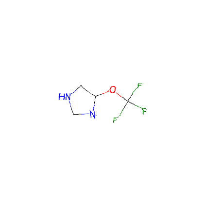 FC(F)(F)OC1CNC[N]1